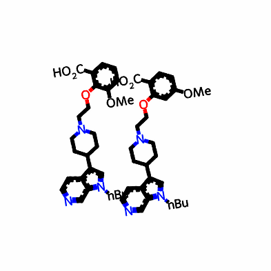 CCCCn1cc(C2CCN(CCOc3c(OC)cccc3C(=O)O)CC2)c2ccncc21.CCCCn1cc(C2CCN(CCOc3cc(OC)ccc3C(=O)O)CC2)c2ccncc21